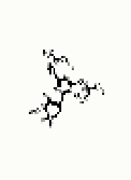 C[C@@H](Nc1nc(N[C@H](C)C(F)(F)F)nc(C2=C(F)[C@@H](O)C(F)(F)CC2)n1)C(F)(F)F